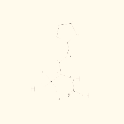 CC(C)(C)C(CNC1CCCC1)NC(=O)O